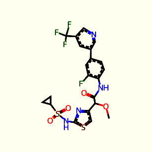 COC(C(=O)Nc1ccc(-c2cncc(C(F)(F)F)c2)cc1F)c1csc(NS(=O)(=O)C2CC2)n1